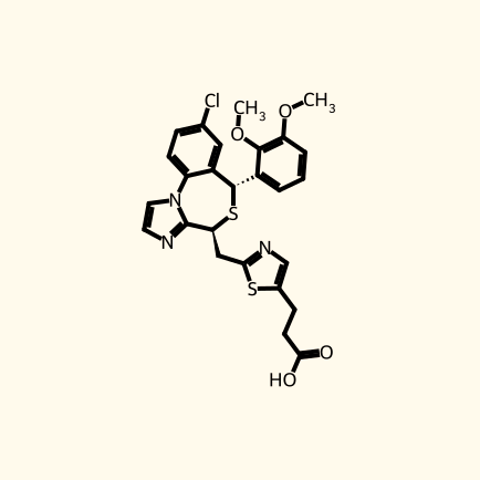 COc1cccc([C@@H]2S[C@@H](Cc3ncc(CCC(=O)O)s3)c3nccn3-c3ccc(Cl)cc32)c1OC